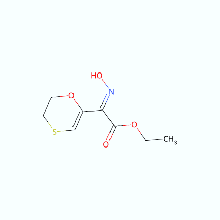 CCOC(=O)/C(=N/O)C1=CSCCO1